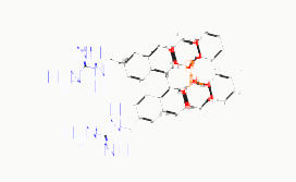 N=C(N)NCc1ccc2c(-c3c(P(c4ccccc4)c4ccccc4)ccc4cc(CNC(=N)N)ccc34)c(P(c3ccccc3)c3ccccc3)ccc2c1